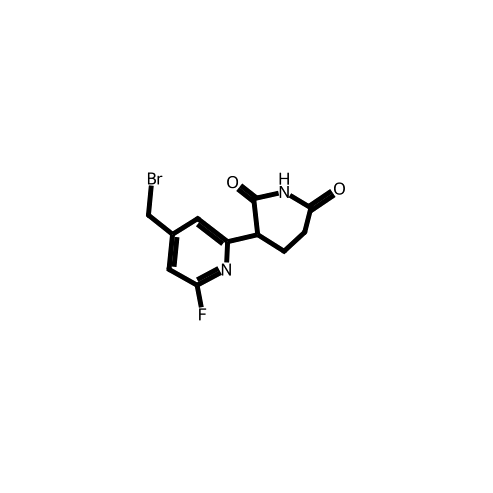 O=C1CCC(c2cc(CBr)cc(F)n2)C(=O)N1